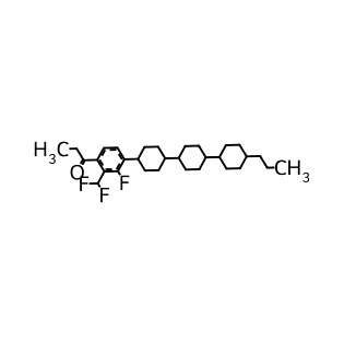 CCCC1CCC(C2CCC(C3CCC(c4ccc(C(=O)CC)c(C(F)F)c4F)CC3)CC2)CC1